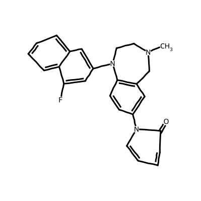 CN1CCN(c2cc(F)c3ccccc3c2)c2ccc(-n3ccccc3=O)cc2C1